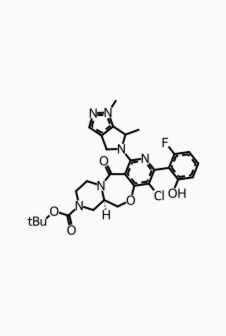 CC1c2c(cnn2C)CN1c1nc(-c2c(O)cccc2F)c(Cl)c2c1C(=O)N1CCN(C(=O)OC(C)(C)C)C[C@@H]1CO2